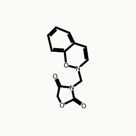 O=C1COC(=O)N1CN1C=Cc2ccccc2O1